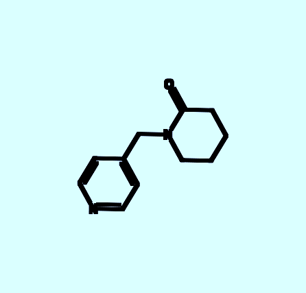 O=C1CCCCN1Cc1ccncc1